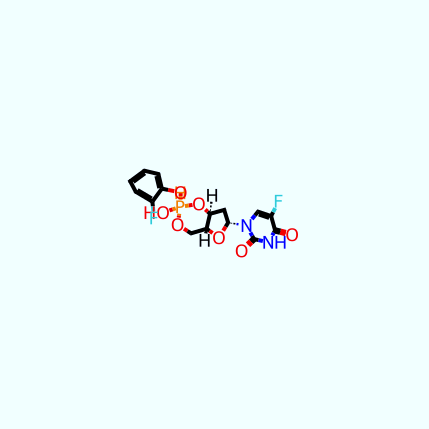 O=c1[nH]c(=O)n([C@H]2C[C@@H]3O[PH](O)(Oc4ccccc4F)OC[C@H]3O2)cc1F